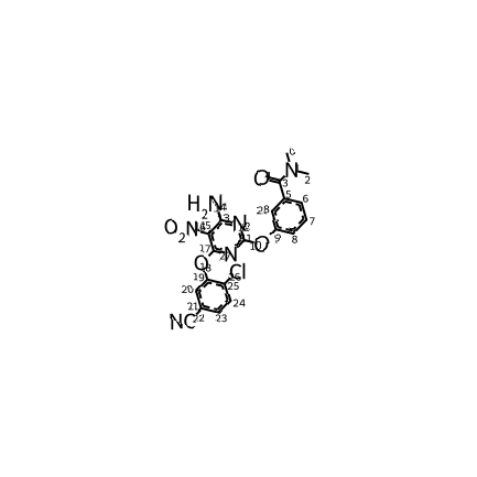 CN(C)C(=O)c1cccc(Oc2nc(N)c([N+](=O)[O-])c(Oc3cc(C#N)ccc3Cl)n2)c1